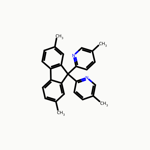 Cc1ccc(C2(c3ccc(C)cn3)c3cc(C)ccc3-c3ccc(C)cc32)nc1